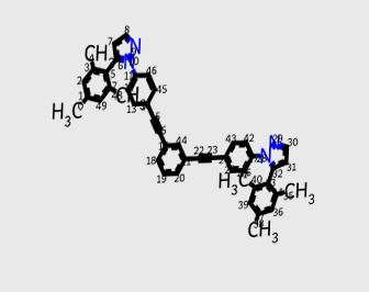 Cc1cc(C)c(-c2ccnn2C2=CCC(C#Cc3cccc(C#Cc4ccc(-n5nccc5-c5c(C)cc(C)cc5C)cc4)c3)C=C2)c(C)c1